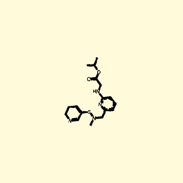 CC(C)OC(=O)CNc1cccc(CN(C)SC2=CCCN=C2)n1